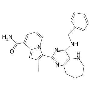 Cc1cc2c(C(N)=O)cccn2c1-c1nc2c(c(NCc3ccccc3)n1)NCCCC2